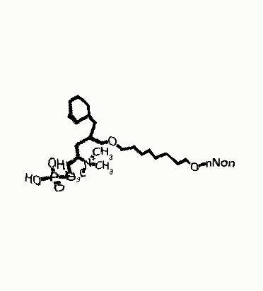 CCCCCCCCCOCCCCCCCCOCC(CC1CCCCC1)CC(COP(=O)(O)O)[N+](C)(C)C